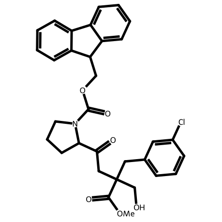 COC(=O)C(CO)(CC(=O)C1CCCN1C(=O)OCC1c2ccccc2-c2ccccc21)Cc1cccc(Cl)c1